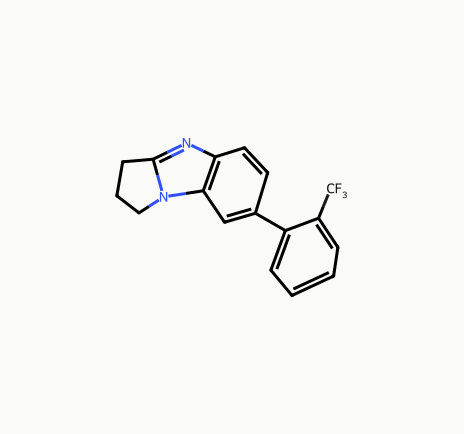 FC(F)(F)c1ccccc1-c1ccc2nc3n(c2c1)CCC3